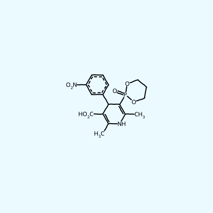 CC1=C(C(=O)O)C(c2cccc([N+](=O)[O-])c2)C(P2(=O)OCCCO2)=C(C)N1